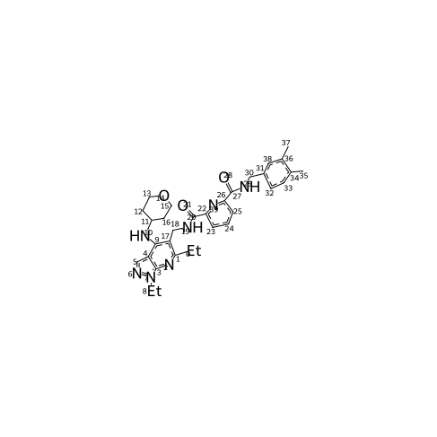 CCc1nc2c(cnn2CC)c(NC2CCOCC2)c1CNC(=O)c1cccc(C(=O)NCc2ccc(C)c(C)c2)n1